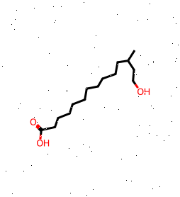 CC(CCO)CCCCCCCCCCC(=O)O